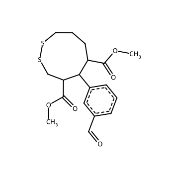 COC(=O)C1CCCSSCC(C(=O)OC)C1c1cccc(C=O)c1